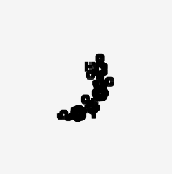 COCc1ccc(N2C(=O)N(c3ccc4c(c3)CN(C3CCC(=O)NC3=O)C4=O)C[C@H]2C)cc1